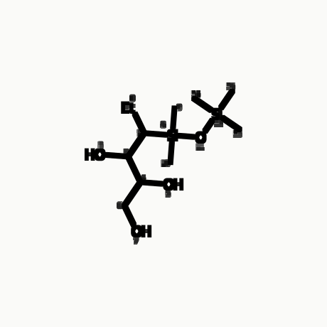 CCC(C(O)C(O)CO)[Si](C)(C)O[Si](C)(C)C